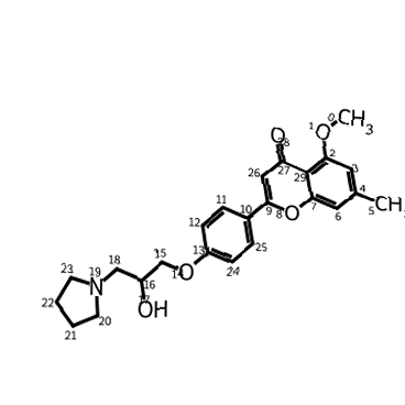 COc1cc(C)cc2oc(-c3ccc(OCC(O)CN4CCCC4)cc3)cc(=O)c12